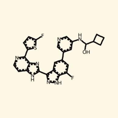 OC(Nc1cncc(-c2cc(F)c3[nH]nc(-c4nc5c(-c6ccc(F)s6)nccc5[nH]4)c3c2)c1)C1CCC1